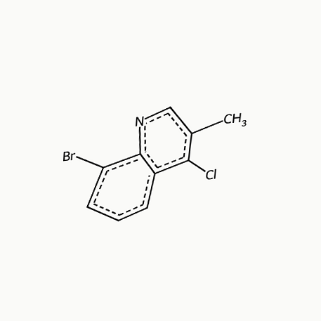 Cc1cnc2c(Br)cccc2c1Cl